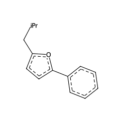 CC(C)Cc1ccc(-c2ccccc2)o1